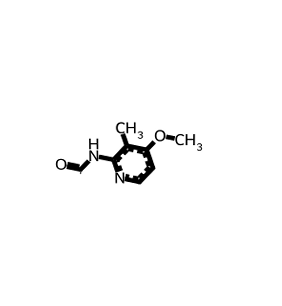 COc1ccnc(N[C]=O)c1C